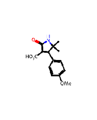 COc1ccc(C2C(C(=O)O)C(=O)NC2(C)C)cc1